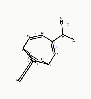 C=C1CC2C#CC(/C=C(C(C)N)\C=C/2)C1